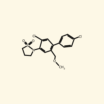 COCc1cc(N2CCCS2(=O)=O)c(Cl)cc1-c1ccc(Cl)cc1